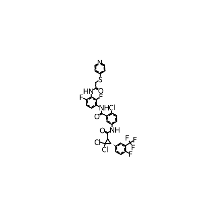 O=C(CSc1ccncc1)Nc1c(F)ccc(NC(=O)c2cc(NC(=O)[C@H]3[C@H](c4ccc(F)c(C(F)(F)F)c4)C3(Cl)Cl)ccc2Cl)c1F